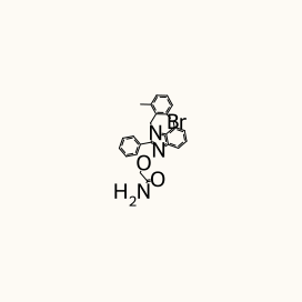 Cc1cccc(C)c1Cn1c(-c2ccccc2OCC(N)=O)nc2cccc(Br)c21